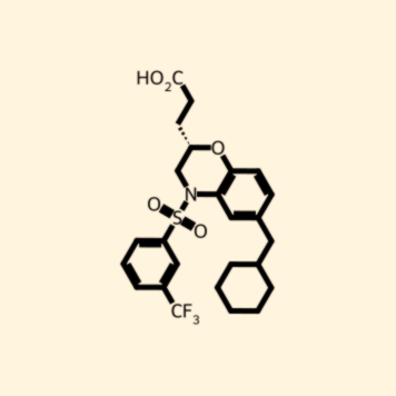 O=C(O)CC[C@H]1CN(S(=O)(=O)c2cccc(C(F)(F)F)c2)c2cc(CC3CCCCC3)ccc2O1